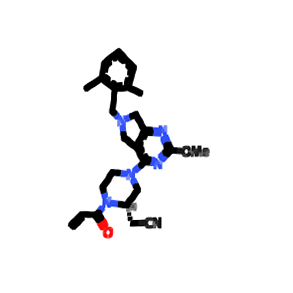 C=CC(=O)N1CCN(c2nc(OC)nc3c2CN(Cc2c(C)cccc2C)C3)C[C@@H]1CC#N